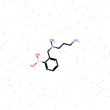 CN(CCCN)Cc1ccccc1B(O)O